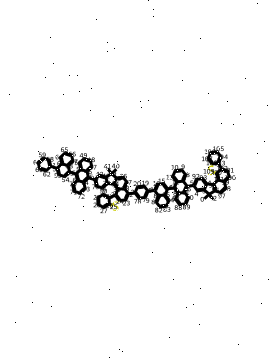 CC1(C)c2cc(-c3c4ccccc4c(-c4ccc(-c5ccc(-c6cc7sc8ccccc8c7c7c8c(ccc67)C(C)(C)c6cc(-c7c9ccccc9c(-c9ccc(-c%10ccccc%10)c%10ccccc9%10)c9ccccc79)ccc6-8)cc5)c5ccccc45)c4ccccc34)ccc2-c2c1ccc1ccc3c4ccccc4sc3c21